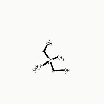 C[P+](C)(CO)CO.[Cl-]